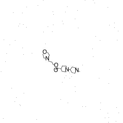 CN1CCC(N2CCC(C(=O)OCCCN3CCOCC3)CC2)CC1